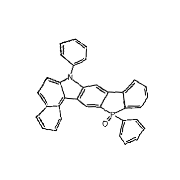 O=P1(c2ccccc2)c2ccccc2-c2cc3c(cc21)c1c2ccccc2ccc1n3-c1ccccc1